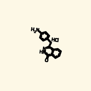 Cl.Nc1ccc(Cc2n[nH]c(=O)c3ccccc23)cc1